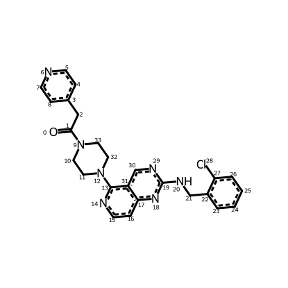 O=C(Cc1ccncc1)N1CCN(c2nccc3nc(NCc4ccccc4Cl)ncc23)CC1